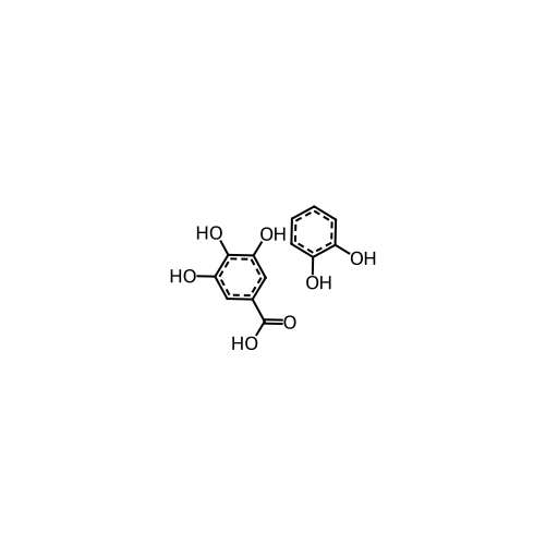 O=C(O)c1cc(O)c(O)c(O)c1.Oc1ccccc1O